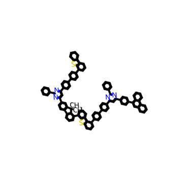 CC1(C)c2cc(-c3cc(-c4ccc(-c5ccc(-c6cccc7c6sc6ccccc67)cc5)cc4)nc(-c4ccccc4)n3)ccc2-c2cccc(-c3cccc4c3sc3cccc(-c5ccc(-c6ccc(-c7cc(-c8ccc(-c9cc%10ccccc%10c%10ccccc9%10)cc8)nc(-c8ccccc8)n7)cc6)cc5)c34)c21